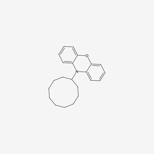 c1ccc2c(c1)Oc1ccccc1N2C1CCCCCCCCC1